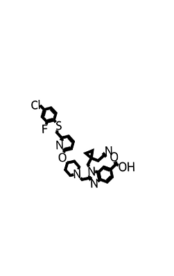 N#CCC1(Cn2c(CN3CCC(Oc4cccc(CSc5ccc(Cl)cc5F)n4)CC3)nc3ccc(C(=O)O)cc32)CC1